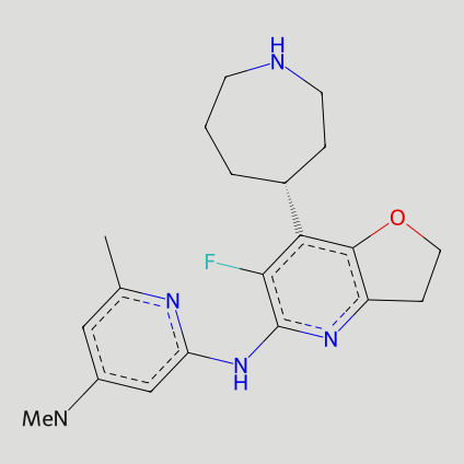 CNc1cc(C)nc(Nc2nc3c(c([C@@H]4CCCNCC4)c2F)OCC3)c1